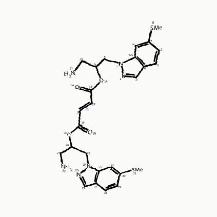 CSc1ccc2cnn(CC(CN)OC(=O)/C=C/C(=O)OC(CN)Cn3ncc4ccc(SC)cc43)c2c1